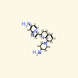 Nc1ccn2c(C3=NC4=C(C=CCC4N4CCC(N)CC4)CC3)cnc2c1